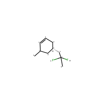 CC1C=CC[C@H](CC(C)(F)F)C1